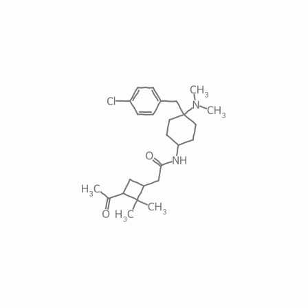 CC(=O)C1CC(CC(=O)NC2CCC(Cc3ccc(Cl)cc3)(N(C)C)CC2)C1(C)C